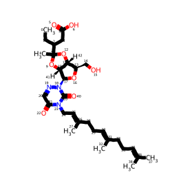 CCC(CC(=O)O)C1(C)O[C@@H]2[C@H](O1)[C@@H](CO)O[C@H]2n1ncc(=O)n(C/C=C(\C)CC/C=C(\C)CCC=C(C)C)c1=O